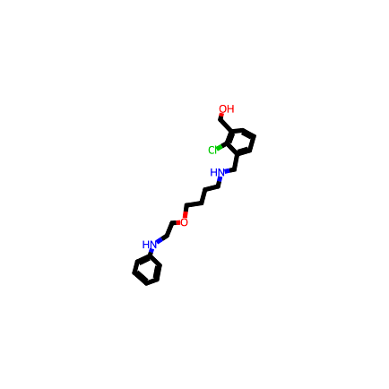 OCc1cccc(CNCCCCOCCNc2ccccc2)c1Cl